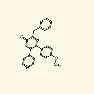 COc1ccc(-c2nn(Cc3ccccc3)c(=O)cc2-c2ccncc2)cc1